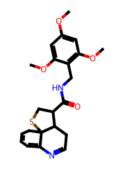 COc1cc(OC)c(CNC(=O)C2CSC34CC=CC=C3N=CCC24)c(OC)c1